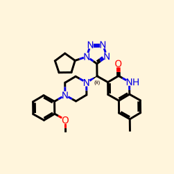 COc1ccccc1N1CCN([C@H](c2cc3cc(C)ccc3[nH]c2=O)c2nnnn2C2CCCC2)CC1